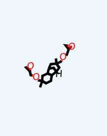 CC1(COCC2CO2)CCC2C(C1)C1C[C@@H]2CC(C)(COCC2CO2)C1